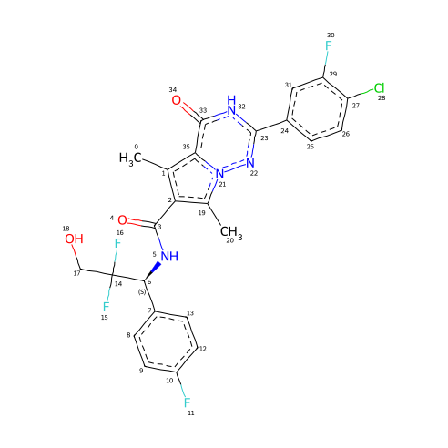 Cc1c(C(=O)N[C@@H](c2ccc(F)cc2)C(F)(F)CO)c(C)n2nc(-c3ccc(Cl)c(F)c3)[nH]c(=O)c12